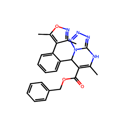 CC1=C(C(=O)OCc2ccccc2)C(c2ccccc2-c2c(C)noc2C)n2nnnc2N1